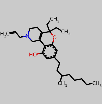 C=CCN1CCC2=C(C1)c1c(O)cc(CCC(C)CCCCC)cc1OC2(CC)CC